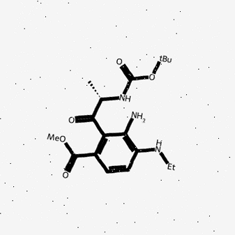 CCNc1ccc(C(=O)OC)c(C(=O)[C@H](C)NC(=O)OC(C)(C)C)c1N